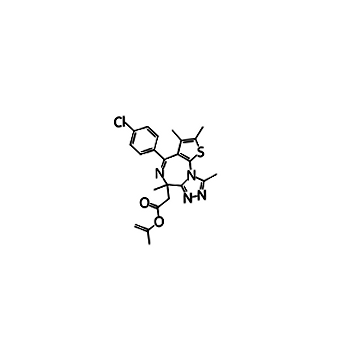 C=C(C)OC(=O)CC1(C)N=C(c2ccc(Cl)cc2)c2c(sc(C)c2C)-n2c(C)nnc21